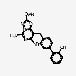 CCCc1nc(C)n2nc(OC)nc2c1Cc1ccc(-c2ccccc2C#N)cc1